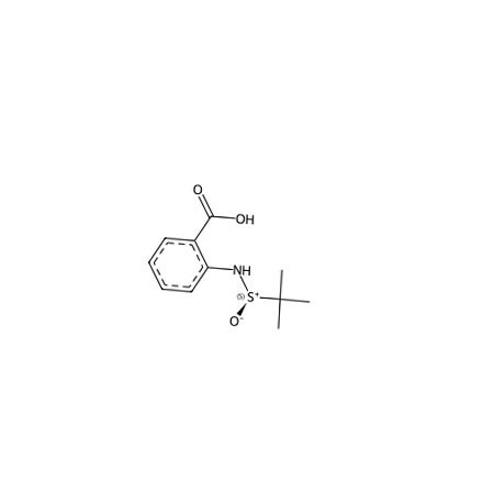 CC(C)(C)[S@@+]([O-])Nc1ccccc1C(=O)O